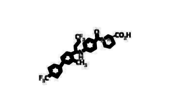 Cc1cc(-c2ccc(C(F)(F)F)cc2)ccc1C(CCC(F)(F)F)Nc1ccc(C(=O)N2CCC[C@@H](C(=O)O)C2)cc1